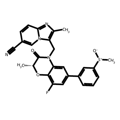 Cc1nc2ccc(C#N)cn2c1CN1C(=O)[C@@H](C)Oc2c(F)cc(-c3cccc([S+](C)[O-])c3)cc21